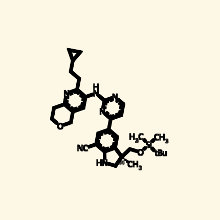 CC(C)(C)[Si](C)(C)OC[C@@]1(C)CNc2c(C#N)cc(-c3ccnc(Nc4cc5c(nc4CCC4CC4)CCOC5)n3)cc21